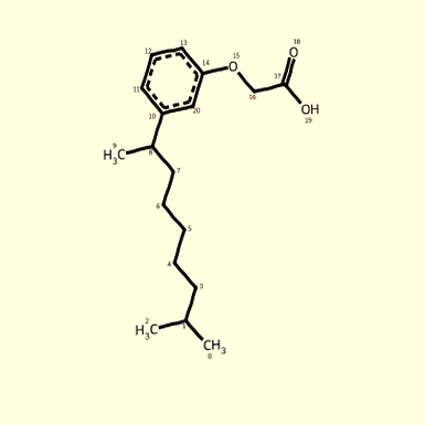 CC(C)CCCCCC(C)c1cccc(OCC(=O)O)c1